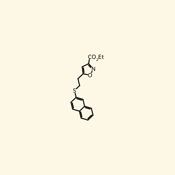 CCOC(=O)c1cc(CCSc2ccc3ccccc3c2)on1